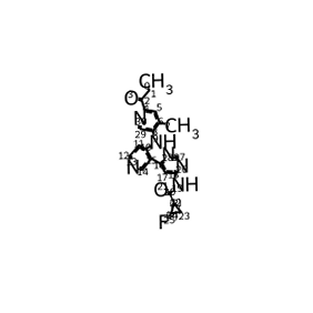 CCC(=O)c1cc(C)c(Nc2ccncc2-c2cc(NC(=O)[C@H]3C[C@H]3F)ncn2)cn1